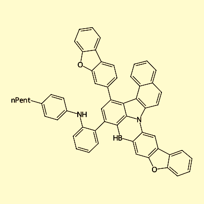 CCCCCc1ccc(Nc2ccccc2-c2cc(-c3ccc4c(c3)oc3ccccc34)c3c4c5ccccc5ccc4n4c3c2Bc2cc3oc5ccccc5c3cc2-4)cc1